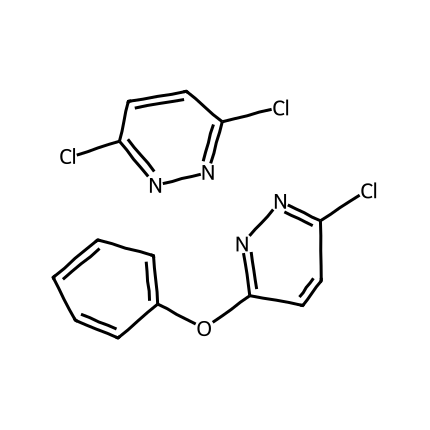 Clc1ccc(Cl)nn1.Clc1ccc(Oc2ccccc2)nn1